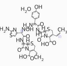 C/C=C\C1=C(C(=O)O)N2C(=O)[C@@H](NC(=O)[C@H](N)c3ccc(O)cc3)[C@H]2SC1.C=CC1=C(C(=O)O)N2C(=O)[C@@H](NC(=O)/C(=N\O)c3csc(N)n3)[C@H]2SC1.O